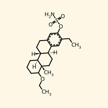 CCOC1CCC[C@H]2[C@@H]3CCc4cc(OS(N)(=O)=O)c(CC)cc4[C@H]3CC[C@]12C